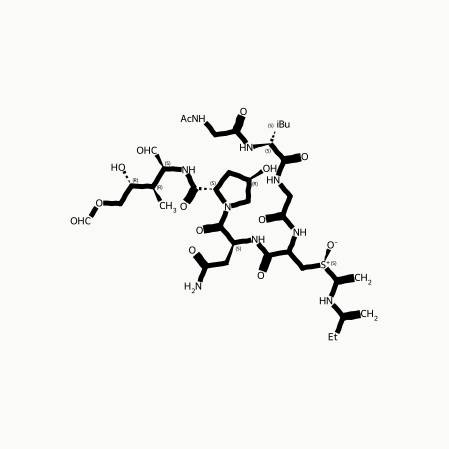 C=C(CC)NC(=C)[S@+]([O-])CC(NC(=O)CNC(=O)[C@@H](NC(=O)CNC(C)=O)[C@@H](C)CC)C(=O)N[C@@H](CC(N)=O)C(=O)N1C[C@H](O)C[C@H]1C(=O)N[C@H](C=O)[C@@H](C)[C@@H](O)COC=O